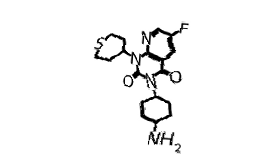 N[C@H]1CC[C@@H](n2c(=O)c3cc(F)cnc3n(C3CCSCC3)c2=O)CC1